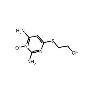 Nc1cc(SCCO)nc(N)[n+]1[O-]